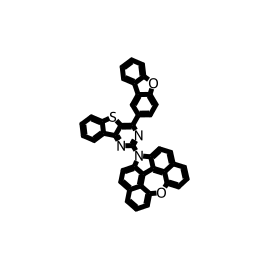 c1ccc2c(c1)oc1ccc(-c3nc(-n4c5ccc6cccc7oc8cccc9ccc4c(c98)c5c67)nc4c3sc3ccccc34)cc12